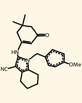 COc1ccc(Cn2c3c(c(C#N)c2NC2=CC(=O)CC(C)(C)C2)CCCC3)cc1